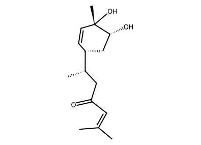 CC(C)=CC(=O)C[C@H](C)[C@@H]1C=C[C@](C)(O)[C@H](O)C1